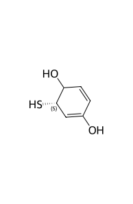 OC1=C[C@H](S)C(O)C=C1